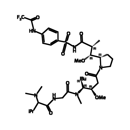 CC[C@H](C)[C@@H]([C@@H](CC(=O)N1CCC[C@H]1[C@H](OC)[C@@H](C)C(=O)NS(=O)(=O)c1ccc(NC(=O)C(F)(F)F)cc1)OC)N(C)C(=O)CNC(=O)C(C(C)C)N(C)C